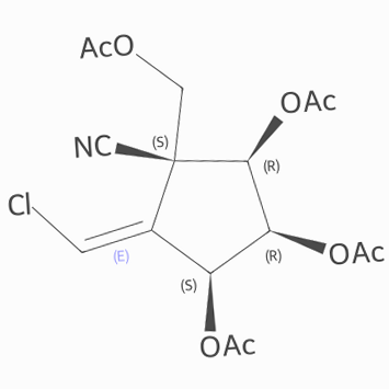 CC(=O)OC[C@@]1(C#N)/C(=C\Cl)[C@H](OC(C)=O)[C@H](OC(C)=O)[C@@H]1OC(C)=O